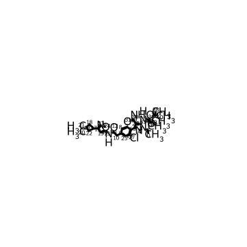 CC(C)n1nc(-c2ccc(CC(=O)Nc3cc(C4CC(C)(C)C4)no3)cc2Cl)c(C(N)=O)c1NC(=O)OC(C)(C)C